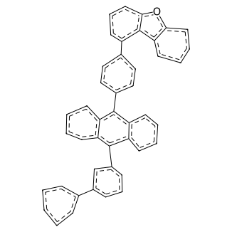 c1ccc(-c2cccc(-c3c4ccccc4c(-c4ccc(-c5cccc6oc7ccccc7c56)cc4)c4ccccc34)c2)cc1